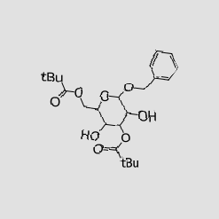 CC(C)(C)C(=O)OCC1OC(OCc2ccccc2)C(O)C(OC(=O)C(C)(C)C)C1O